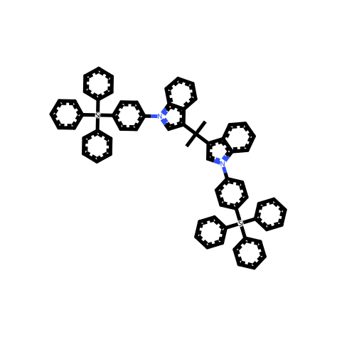 CC(C)(c1cn(-c2ccc([Si](c3ccccc3)(c3ccccc3)c3ccccc3)cc2)c2ccccc12)c1cn(-c2ccc([Si](c3ccccc3)(c3ccccc3)c3ccccc3)cc2)c2ccccc12